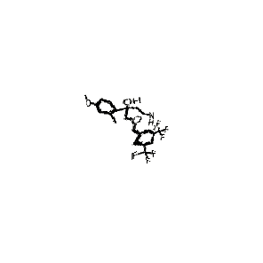 COc1ccc(C(O)(CCN)COCc2cc(C(F)(F)F)cc(C(F)(F)F)c2)c(C)c1